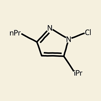 CCCc1cc(C(C)C)n(Cl)n1